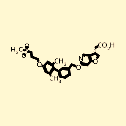 Cc1cc(OCCCS(C)(=O)=O)cc(C)c1-c1cccc(COc2cc3c(cn2)[C@H](CC(=O)O)CO3)c1